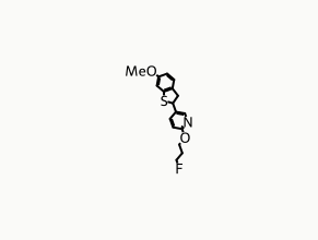 COc1ccc2c(c1)SC(c1ccc(OCCCF)nc1)C2